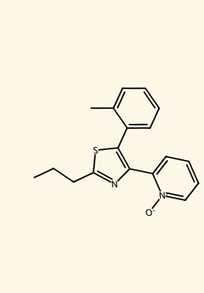 CCCc1nc(-c2cccc[n+]2[O-])c(-c2ccccc2C)s1